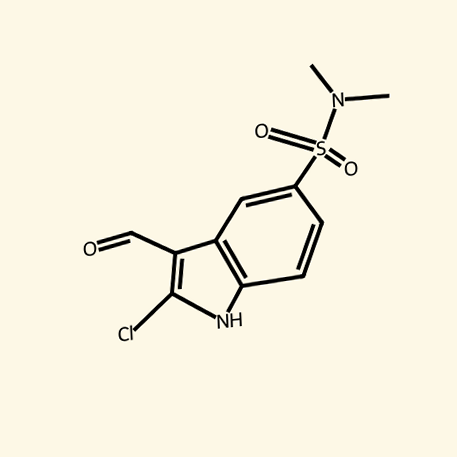 CN(C)S(=O)(=O)c1ccc2[nH]c(Cl)c(C=O)c2c1